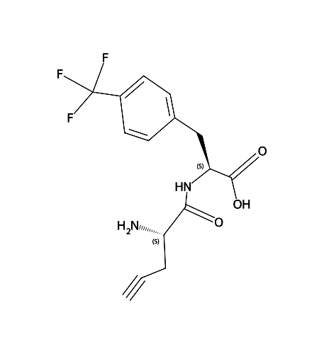 C#CC[C@H](N)C(=O)N[C@@H](Cc1ccc(C(F)(F)F)cc1)C(=O)O